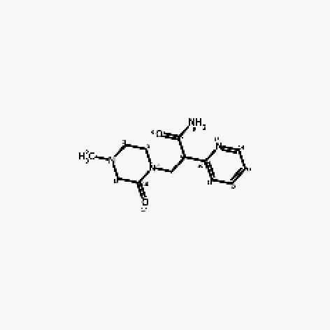 CN1CCN(CC(C(N)=O)c2ccccn2)C(=O)C1